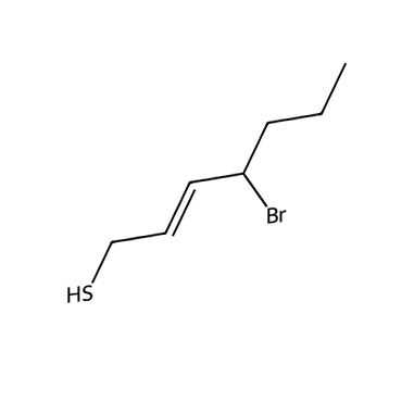 CCCC(Br)C=CCS